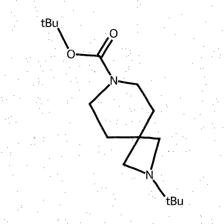 CC(C)(C)OC(=O)N1CCC2(CC1)CN(C(C)(C)C)C2